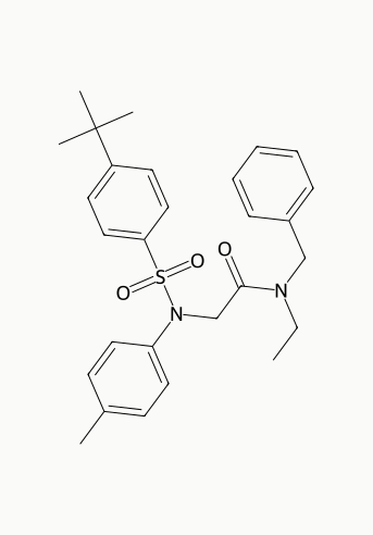 CCN(Cc1ccccc1)C(=O)CN(c1ccc(C)cc1)S(=O)(=O)c1ccc(C(C)(C)C)cc1